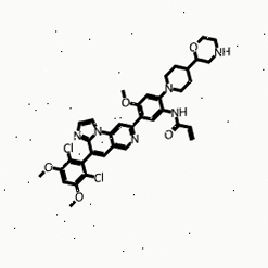 C=CC(=O)Nc1cc(-c2cc3c(cn2)cc(-c2c(Cl)c(OC)cc(OC)c2Cl)c2nccn23)c(OC)cc1N1CCC(C2CNCCO2)CC1